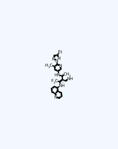 C=C(Nc1cnc(-n2ncc(CC)n2)c(C)c1)/C(C=N)=C(/Nc1cccc2ncccc12)C(F)(F)F